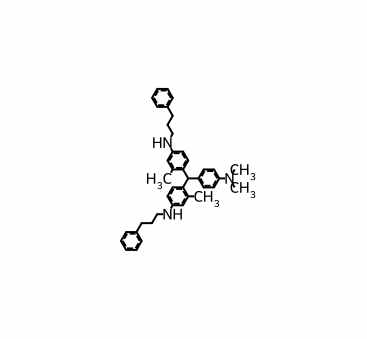 Cc1cc(NCCCc2ccccc2)ccc1C(c1ccc(N(C)C)cc1)c1ccc(NCCCc2ccccc2)cc1C